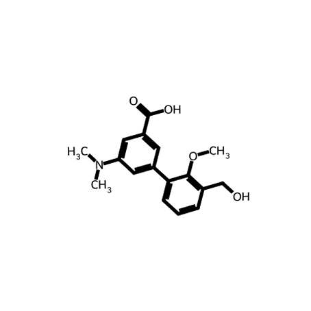 COc1c(CO)cccc1-c1cc(C(=O)O)cc(N(C)C)c1